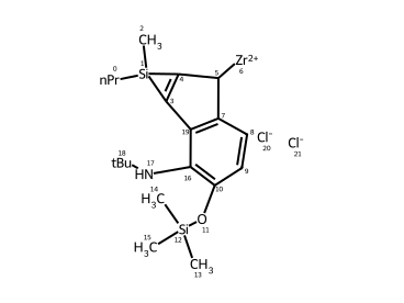 CCC[Si]1(C)C2=C1[CH]([Zr+2])c1ccc(O[Si](C)(C)C)c(NC(C)(C)C)c12.[Cl-].[Cl-]